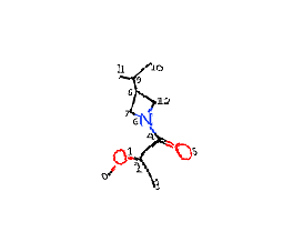 COC(C)C(=O)N1CC(C(C)C)C1